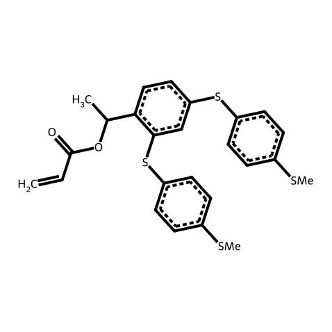 C=CC(=O)OC(C)c1ccc(Sc2ccc(SC)cc2)cc1Sc1ccc(SC)cc1